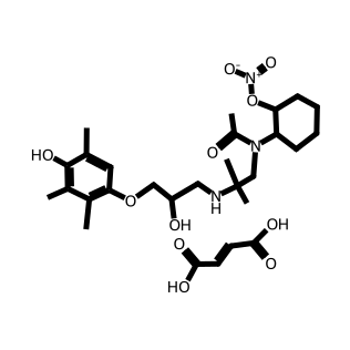 CC(=O)N(CC(C)(C)NCC(O)COc1cc(C)c(O)c(C)c1C)C1CCCCC1O[N+](=O)[O-].O=C(O)C=CC(=O)O